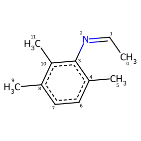 C/C=N\c1c(C)ccc(C)c1C